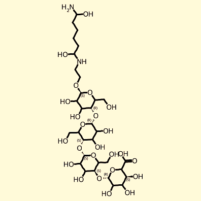 NC(O)CCCCC(O)NCCO[C@H]1OC(CO)[C@H](O[C@H]2OC(CO)[C@@H](O[C@@H]3OC(CO)[C@@H](O[C@@H]4OC(C(=O)O)[C@@H](O)C(O)C4O)C(O)C3O)C(O)C2O)C(O)C1O